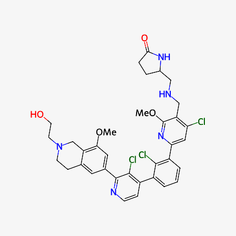 COc1cc(-c2nccc(-c3cccc(-c4cc(Cl)c(CNCC5CCC(=O)N5)c(OC)n4)c3Cl)c2Cl)cc2c1CN(CCO)CC2